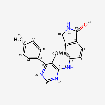 COc1c(Nc2ccc3c(c2)CNC3=O)ncnc1-c1ccc(C)cc1